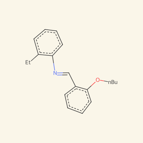 CCCCOc1ccccc1C=Nc1ccccc1CC